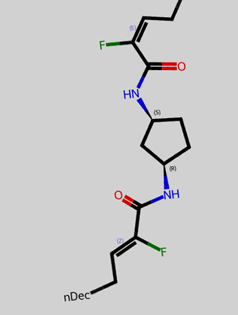 CCCCCCCCCCC/C=C(\F)C(=O)N[C@@H]1CC[C@H](NC(=O)/C(F)=C\CCCCCCCCCCC)C1